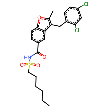 CCCCCCS(=O)(=O)NC(=O)c1ccc2oc(C)c(Cc3ccc(Cl)cc3Cl)c2c1